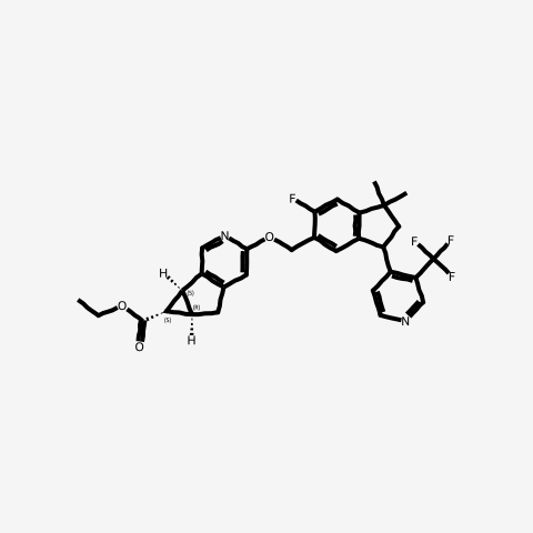 CCOC(=O)[C@H]1[C@@H]2Cc3cc(OCc4cc5c(cc4F)C(C)(C)CC5c4ccncc4C(F)(F)F)ncc3[C@@H]21